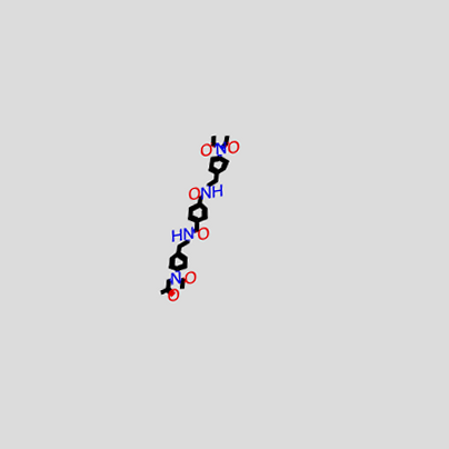 CC(=O)CN(C(C)=O)c1ccc(CCNC(=O)c2ccc(C(=O)NCCc3ccc(N(C(C)=O)C(C)=O)cc3)cc2)cc1